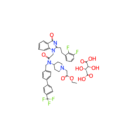 CCOC(=O)CN1CCC(N(Cc2ccc(-c3ccc(C(F)(F)F)cc3)cc2)C(=O)Cn2c(CCc3cccc(F)c3F)nc(=O)c3ccccc32)CC1.O=C(O)C(O)C(O)C(=O)O